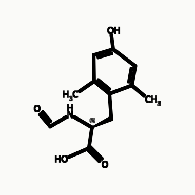 Cc1cc(O)cc(C)c1C[C@H](NC=O)C(=O)O